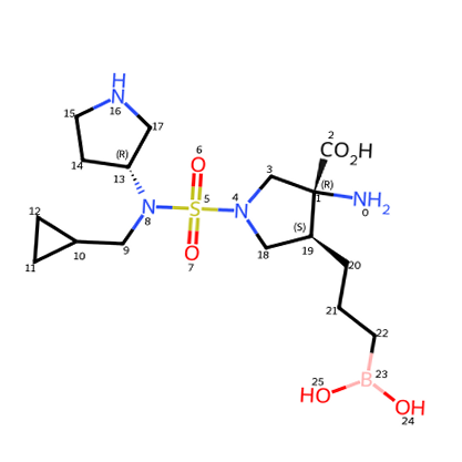 N[C@@]1(C(=O)O)CN(S(=O)(=O)N(CC2CC2)[C@@H]2CCNC2)C[C@@H]1CCCB(O)O